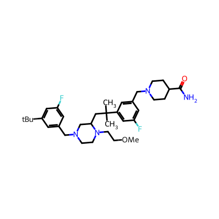 COCCN1CCN(Cc2cc(F)cc(C(C)(C)C)c2)CC1CC(C)(C)c1cc(F)cc(CN2CCC(C(N)=O)CC2)c1